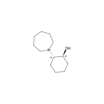 O[C@H]1CCCC[C@@H]1N1CCCCCC1